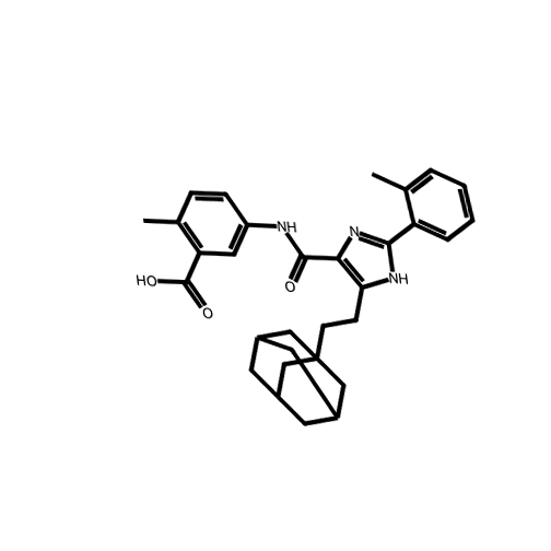 Cc1ccc(NC(=O)c2nc(-c3ccccc3C)[nH]c2CCC23CC4CC(CC(C4)C2)C3)cc1C(=O)O